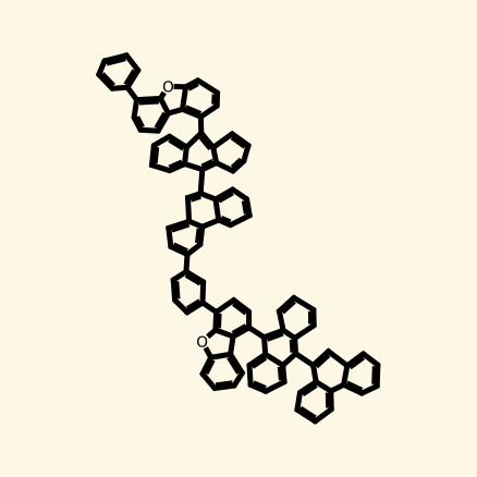 c1ccc(-c2cccc3c2oc2cccc(-c4c5ccccc5c(-c5cc6ccc(-c7cccc(-c8ccc(-c9c%10ccccc%10c(-c%10cc%11ccccc%11c%11ccccc%10%11)c%10ccccc9%10)c9c8oc8ccccc89)c7)cc6c6ccccc56)c5ccccc45)c23)cc1